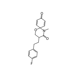 CN1C(=O)C(CCc2ccc(F)cc2)COC12C=CC(=O)C=C2